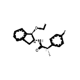 CCO[C@@H]1c2ccccc2C[C@H]1NC(=O)[C@@H](C)c1ccc(F)cc1